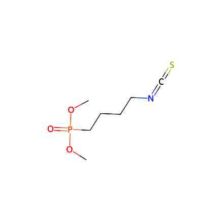 COP(=O)(CCCCN=C=S)OC